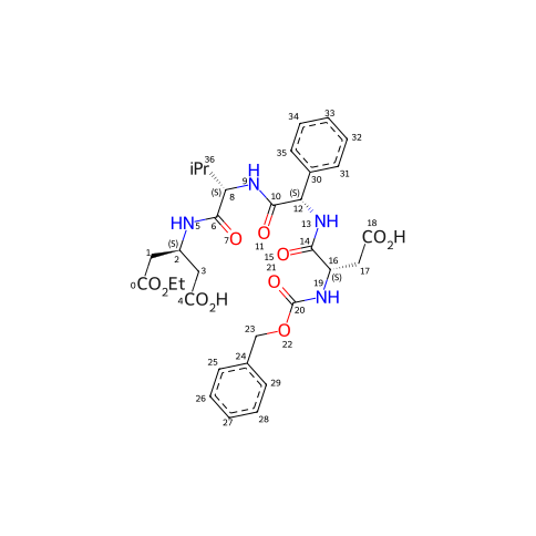 CCOC(=O)C[C@H](CC(=O)O)NC(=O)[C@@H](NC(=O)[C@@H](NC(=O)[C@H](CC(=O)O)NC(=O)OCc1ccccc1)c1ccccc1)C(C)C